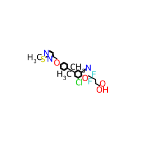 CSc1nccc(COc2ccc(C(C)(C)c3cc(Cl)c(OCC(F)(F)CCC(=O)O)c(C#N)c3)cc2)n1